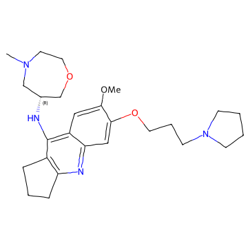 COc1cc2c(N[C@H]3COCCN(C)C3)c3c(nc2cc1OCCCN1CCCC1)CCC3